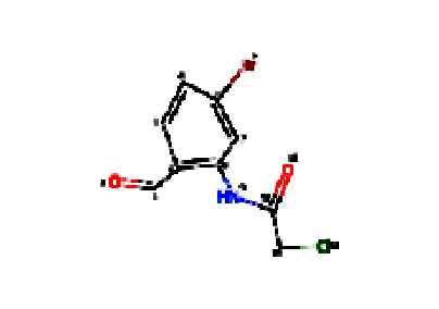 O=Cc1ccc(Br)cc1NC(=O)CCl